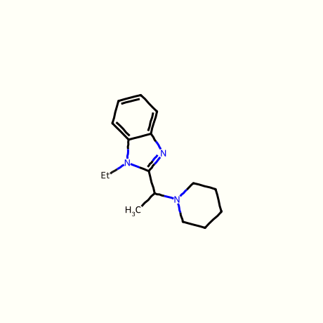 CCn1c(C(C)N2CCCCC2)nc2ccccc21